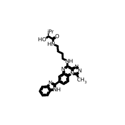 Cc1nnc2c(NCCCCNC(=O)[C@@H](O)C(C)C)nc3cc(-c4nc5ccccc5[nH]4)ccc3n12